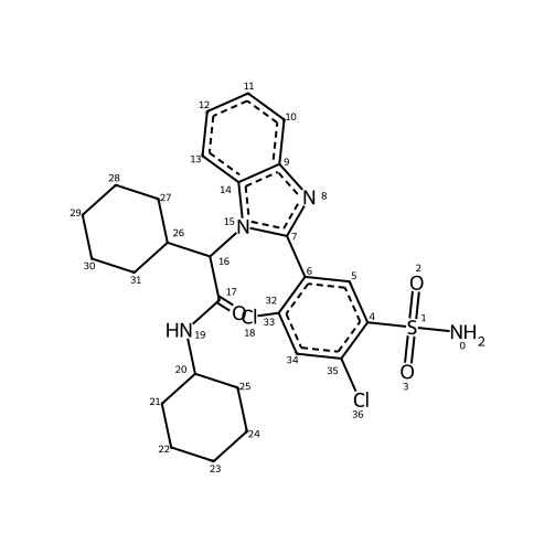 NS(=O)(=O)c1cc(-c2nc3ccccc3n2C(C(=O)NC2CCCCC2)C2CCCCC2)c(Cl)cc1Cl